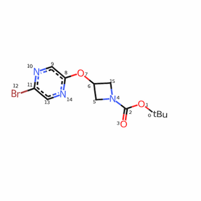 CC(C)(C)OC(=O)N1CC(Oc2cnc(Br)cn2)C1